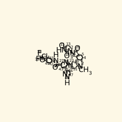 CN(Cc1ccc2c(c1)CN(N1CCC(=O)NC1=O)C2=O)C1CCN(c2ncc(C(=O)Nc3ccc(OC(F)(F)Cl)cc3)cc2-c2cc[nH]n2)CC1